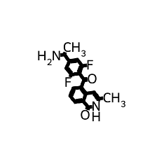 Cc1cc2c(C(=O)c3c(F)cc(C(C)N)cc3F)cccc2c(=O)[nH]1